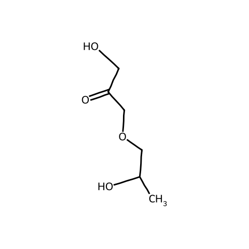 CC(O)COCC(=O)CO